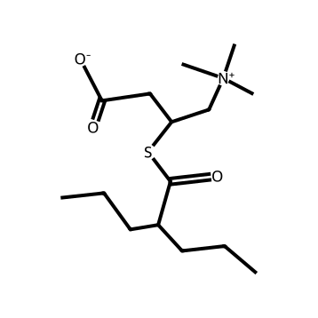 CCCC(CCC)C(=O)SC(CC(=O)[O-])C[N+](C)(C)C